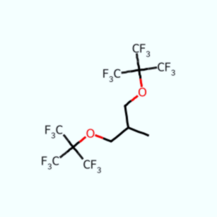 CC(COC(C(F)(F)F)(C(F)(F)F)C(F)(F)F)COC(C(F)(F)F)(C(F)(F)F)C(F)(F)F